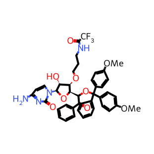 COc1ccc(C(OC(C(=O)c2ccccc2)[C@H]2O[C@@H](n3ccc(N)nc3=O)[C@H](O)[C@@H]2OCCCNC(=O)C(F)(F)F)(c2ccccc2)c2ccc(OC)cc2)cc1